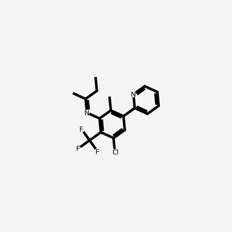 CC/C(C)=N\c1c(C)c(-c2ccccn2)cc(Cl)c1C(F)(F)F